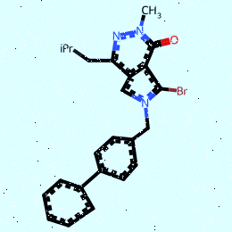 CC(C)Cc1nn(C)c(=O)c2c(Br)n(Cc3ccc(-c4ccccc4)cc3)cc12